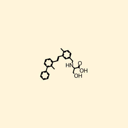 Cc1ccc(CNC(CO)C(=O)O)cc1C=Cc1cccc(-c2ccccc2)c1C